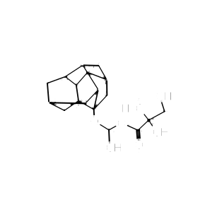 CCC(C)(C)C(=O)OC(C)OC12CC3CC4C5CC(CC41)CC2C5C3